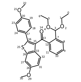 CCOC(OCC)c1ccccc1C(=O)c1c(-c2ccc(OC)cc2)sc2cc(OC)ccc12